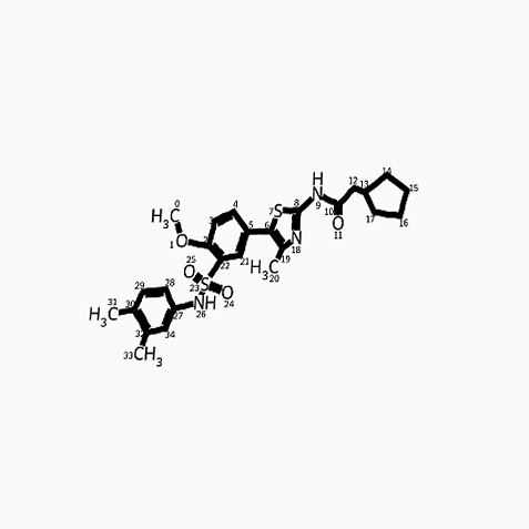 COc1ccc(-c2sc(NC(=O)CC3CCCC3)nc2C)cc1S(=O)(=O)Nc1ccc(C)c(C)c1